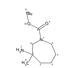 CC1(N)CCCCN(C(=O)OC(C)(C)C)C1